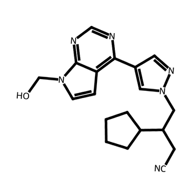 N#CCC(Cn1cc(-c2ncnc3c2ccn3CO)cn1)C1CCCC1